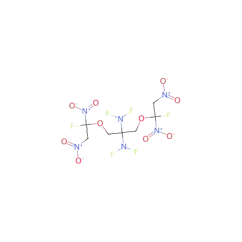 O=[N+]([O-])CC(F)(OCC(COC(F)(C[N+](=O)[O-])[N+](=O)[O-])(N(F)F)N(F)F)[N+](=O)[O-]